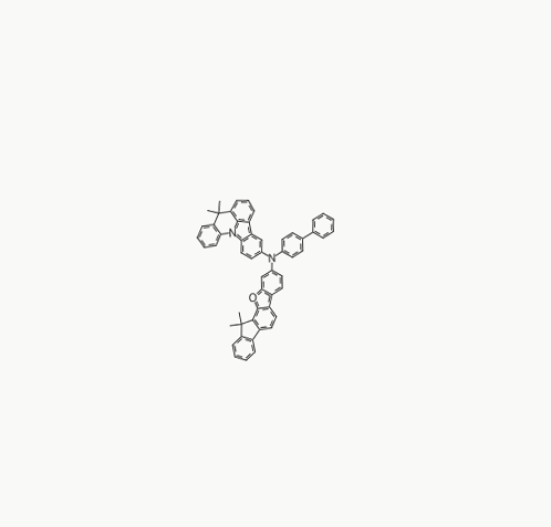 CC1(C)c2ccccc2-c2ccc3c(oc4cc(N(c5ccc(-c6ccccc6)cc5)c5ccc6c(c5)c5cccc7c5n6-c5ccccc5C7(C)C)ccc43)c21